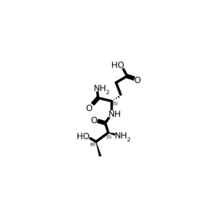 C[C@@H](O)[C@H](N)C(=O)N[C@@H](CCC(=O)O)C(N)=O